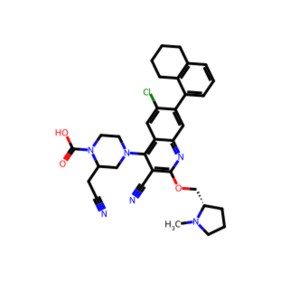 CN1CCC[C@H]1COc1nc2cc(-c3cccc4c3CCCC4)c(Cl)cc2c(N2CCN(C(=O)O)C(CC#N)C2)c1C#N